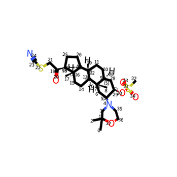 CC1(C)CN([C@H]2C[C@@]3(C)[C@@H](CC[C@@H]4[C@@H]3CC[C@]3(C)[C@@H](C(=O)CSC#N)CC[C@@H]43)C[C@@H]2OS(C)(=O)=O)CCO1